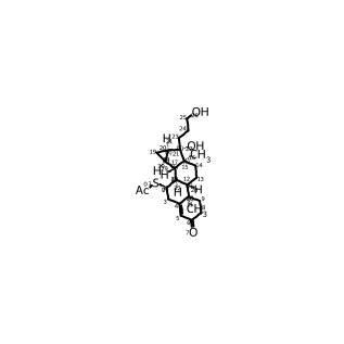 CC(=O)S[C@@H]1CC2=CC(=O)CC[C@]2(C)[C@H]2CC[C@@]3(C)[C@@H]([C@H]4C[C@H]4[C@@]3(O)CCCO)[C@H]12